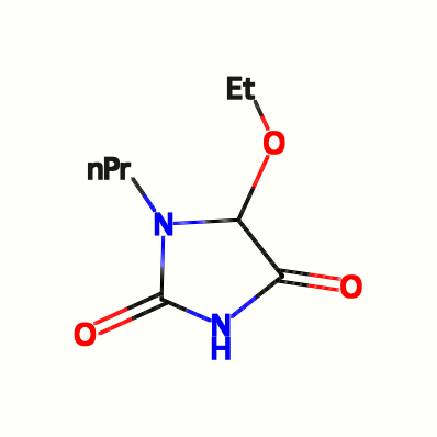 CCCN1C(=O)NC(=O)C1OCC